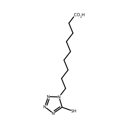 O=C(O)CCCCCCCCn1nnnc1S